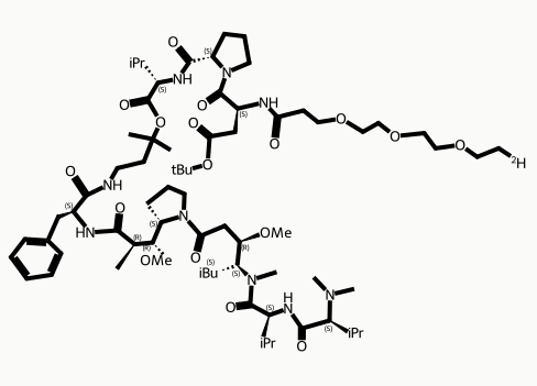 [2H]CCOCCOCCOCCC(=O)N[C@@H](CC(=O)OC(C)(C)C)C(=O)N1CCC[C@H]1C(=O)N[C@H](C(=O)OC(C)(C)CCNC(=O)[C@H](Cc1ccccc1)NC(=O)[C@H](C)[C@@H](OC)[C@@H]1CCCN1C(=O)C[C@@H](OC)[C@H]([C@@H](C)CC)N(C)C(=O)[C@@H](NC(=O)[C@H](C(C)C)N(C)C)C(C)C)C(C)C